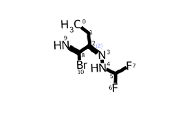 CC/C(=N/NC(F)F)C(=N)Br